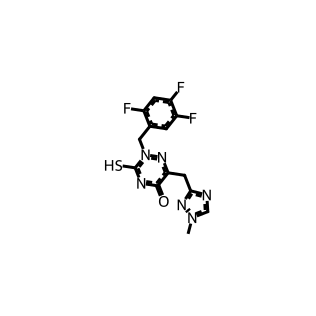 Cn1cnc(Cc2nn(Cc3cc(F)c(F)cc3F)c(S)nc2=O)n1